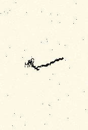 C=C(C)C(=O)NCCCCC(CC)CCCCCCCCCCCCC